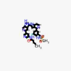 CCCCC(=O)Nc1cncc(-c2cc3c(-c4cc5c(-c6cc(F)cc(CNS(C)(=O)=O)c6)nccc5[nH]4)n[nH]c3cn2)c1